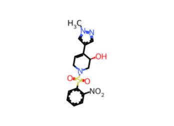 Cn1cc(C2=CCN(S(=O)(=O)c3ccccc3[N+](=O)[O-])C[C@@H]2O)cn1